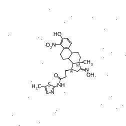 Cc1cnc(NC(=O)CC[C@@H]2CC(=NO)[C@@]3(C)CCC4c5ccc(O)c([N+](=O)[O-])c5CCC4C23)s1